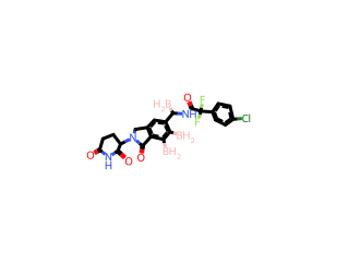 Bc1c(C(B)NC(=O)C(F)(F)c2ccc(Cl)cc2)cc2c(c1B)C(=O)N(C1CCC(=O)NC1=O)C2